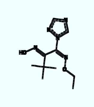 CCON=C(C(=NO)C(C)(C)C)n1cncn1